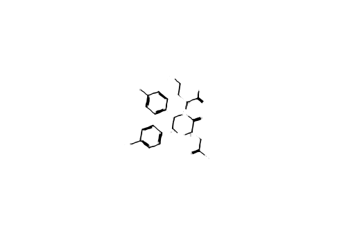 CCC[C@@H](C(=O)O)N1C(=O)[C@@H](CC(N)=O)O[C@H](c2ccc(Cl)cc2)[C@@H]1c1ccc(Cl)cc1